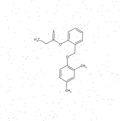 CCC(=S)Oc1ccccc1COc1ccc(C)cc1C